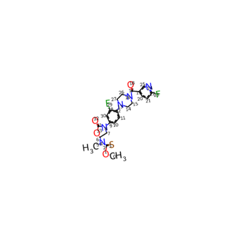 COC(=S)N(C)C1CN(c2ccc(N3CCN(C(=O)c4ccc(F)nc4)CC3)c(F)c2)C(=O)O1